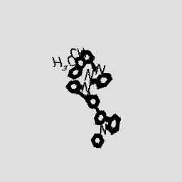 CC1(C)c2ccccc2-c2c(-c3nc(-n4c5ccccc5c5cc(-c6ccc7c(c6)c6ccccc6n7-c6ccccc6)ccc54)c4ccccc4n3)cccc21